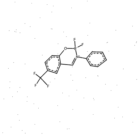 F[B-]1(F)Oc2ccc(C(F)(F)F)cc2C=[N+]1c1ccccc1